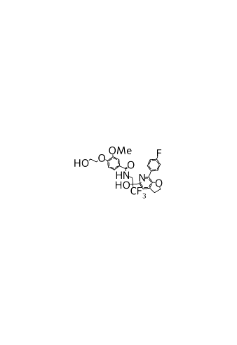 COc1cc(C(=O)NCC(O)(c2cc3c(c(-c4ccc(F)cc4)n2)OCC3)C(F)(F)F)ccc1OCCO